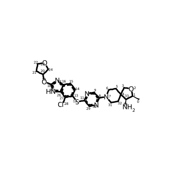 C[C@@H]1OCC2(CCN(c3cnc(Sc4ccc5nc(OC6CCOC6)[nH]c5c4Cl)cn3)CC2)[C@@H]1N